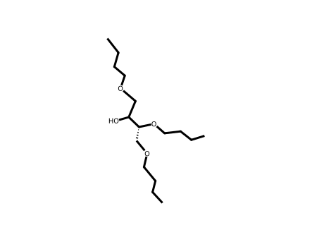 CCCCOCC(O)[C@@H](COCCCC)OCCCC